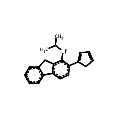 C[CH](C)[Hf][c]1c(C2=CC=CC2)ccc2c1Cc1ccccc1-2